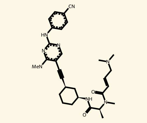 CNc1nc(Nc2ccc(C#N)cc2)ncc1C#C[C@@H]1CCC[C@H](NC(=O)[C@H](C)N(C)C(=O)C=CCN(C)C)C1